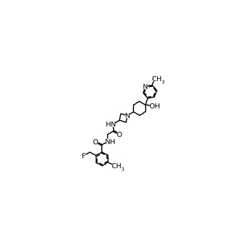 Cc1ccc(CF)c(C(=O)NCC(=O)NC2CN(C3CCC(O)(c4ccc(C)nc4)CC3)C2)c1